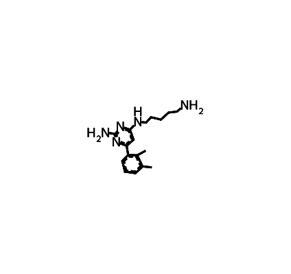 Cc1cccc(-c2cc(NCCCCCN)nc(N)n2)c1C